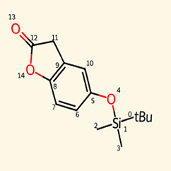 CC(C)(C)[Si](C)(C)Oc1ccc2c(c1)CC(=O)O2